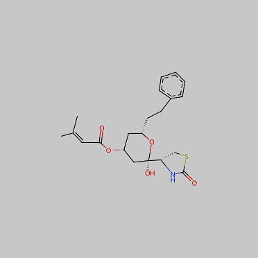 CC(C)=CC(=O)O[C@@H]1C[C@H](CCc2ccccc2)O[C@@](O)([C@@H]2CSC(=O)N2)C1